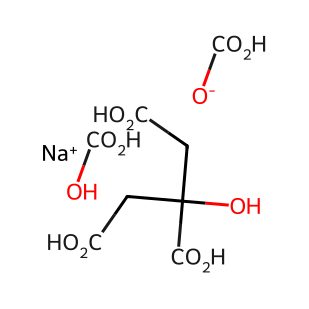 O=C(O)CC(O)(CC(=O)O)C(=O)O.O=C(O)O.O=C([O-])O.[Na+]